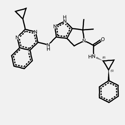 CC1(C)c2[nH]nc(Nc3nc(C4CC4)nc4ccccc34)c2CN1C(=O)N[C@@H]1C[C@H]1c1ccccc1